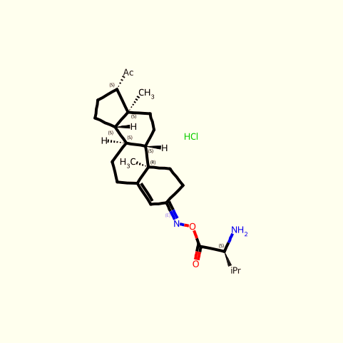 CC(=O)[C@H]1CC[C@H]2[C@@H]3CCC4=C/C(=N/OC(=O)[C@@H](N)C(C)C)CC[C@]4(C)[C@H]3CC[C@]12C.Cl